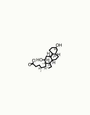 C[C@H](CCC(=O)Cl)[C@H]1CC[C@H]2[C@@H]3CC[C@@H]4C[C@H](O)CC[C@]4(C)[C@H]3C[C@H](O)[C@]12C